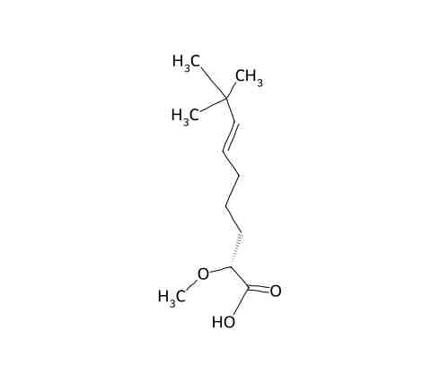 CO[C@H](CCC/C=C/C(C)(C)C)C(=O)O